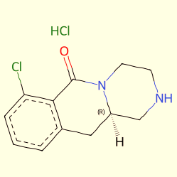 Cl.O=C1c2c(Cl)cccc2C[C@@H]2CNCCN12